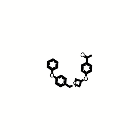 CC(=O)c1ccc(OC2CN(Cc3ccc(Oc4ccccc4)cc3)C2)cc1